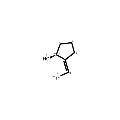 CC=C1CCC[C@@H]1O